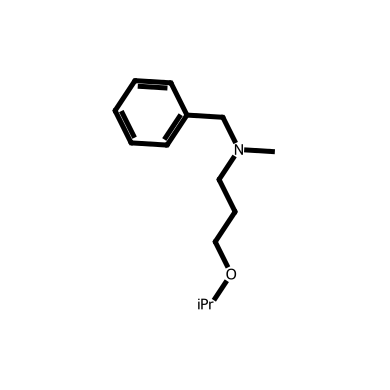 CC(C)OCCCN(C)Cc1ccccc1